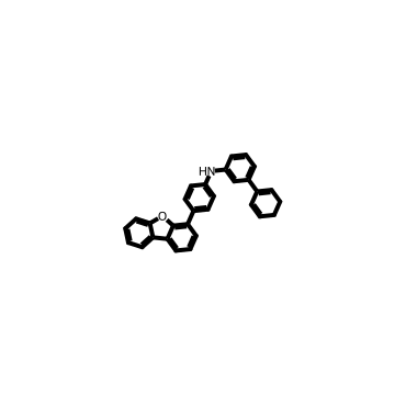 C1=CC(c2cccc(Nc3ccc(-c4cccc5c4oc4ccccc45)cc3)c2)=CCC1